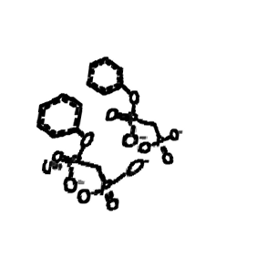 O=P([O-])([O-])CP(=O)([O-])Oc1ccccc1.O=P([O-])([O-])CP(=O)([O-])Oc1ccccc1.[U+6]